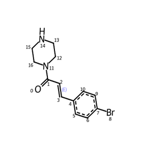 O=C(/C=C/c1ccc(Br)cc1)N1CCNCC1